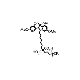 COc1ccc(C2(SC)COc3cc(OC)ccc3C2CCCCCCCCC(CCCC(F)(F)C(F)(F)F)(C(=O)O)C(=O)O)cc1